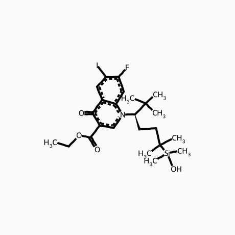 CCOC(=O)c1cn([C@H](CCC(C)(C)[Si](C)(C)O)C(C)(C)C)c2cc(F)c(I)cc2c1=O